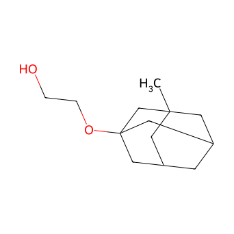 CC12CC3CC(C1)CC(OCCO)(C3)C2